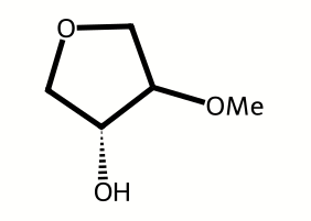 COC1COC[C@H]1O